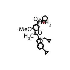 COc1cc(C(=O)N2CC3CCC2[C@@H]3N)cc2oc(-c3cc4ccc(C5CC5)cc4n3CC3CC3)c(C)c12